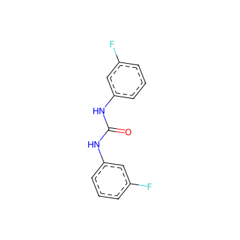 O=C(Nc1cccc(F)c1)Nc1cccc(F)c1